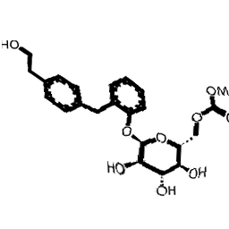 COC(=O)OC[C@H]1O[C@H](Oc2ccccc2Cc2ccc(CCO)cc2)[C@H](O)[C@@H](O)[C@@H]1O